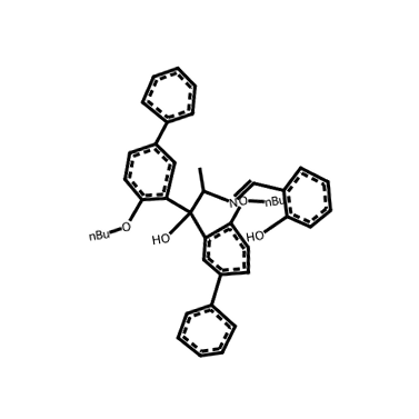 CCCCOc1ccc(-c2ccccc2)cc1C(O)(c1cc(-c2ccccc2)ccc1OCCCC)C(C)N=Cc1ccccc1O